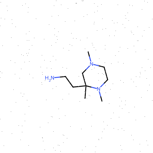 CN1CCN(C)C(C)(CCN)C1